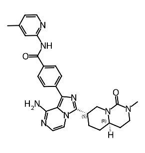 Cc1ccnc(NC(=O)c2ccc(-c3nc([C@H]4CC[C@@H]5CCN(C)C(=O)N5C4)n4ccnc(N)c34)cc2)c1